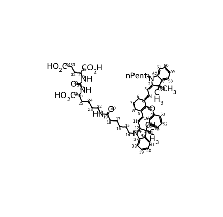 CCCCCN1/C(=C/C=C2\CCCC(/C=C/C3=[N+](CCCCCC(=O)NCCCC[C@H](NC(=O)N[C@@H](CCC(=O)O)C(=O)O)C(=O)O)c4ccccc4C3(C)C)=C2Oc2ccccc2)C(C)(C)c2ccccc21